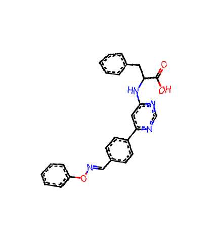 O=C(O)C(Cc1ccccc1)Nc1cc(-c2ccc(C=NOc3ccccc3)cc2)ncn1